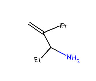 C=C(C(C)C)C(N)CC